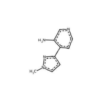 Cn1ccc(-c2ccncc2N)n1